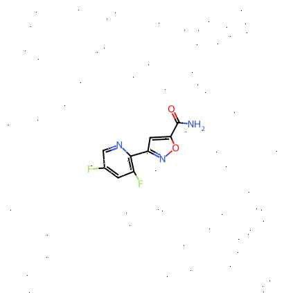 NC(=O)c1cc(-c2ncc(F)cc2F)no1